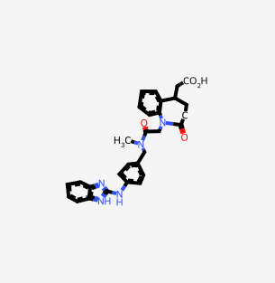 CN(Cc1ccc(Nc2nc3ccccc3[nH]2)cc1)C(=O)CN1C(=O)CCC(CC(=O)O)c2ccccc21